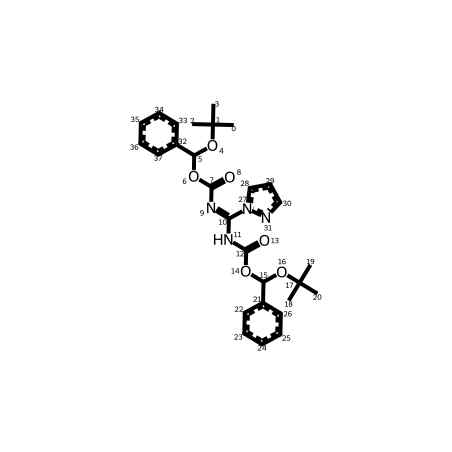 CC(C)(C)OC(OC(=O)N=C(NC(=O)OC(OC(C)(C)C)c1ccccc1)n1cccn1)c1ccccc1